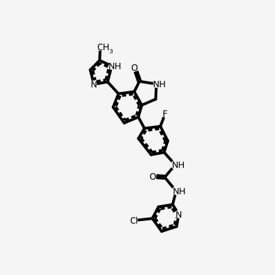 Cc1cnc(-c2ccc(-c3ccc(NC(=O)Nc4cc(Cl)ccn4)cc3F)c3c2C(=O)NC3)[nH]1